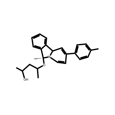 Cc1ccc(C2=CC3c4ccccc4[C@](C)(OC(C)CC(C)O)N3C=C2)cc1